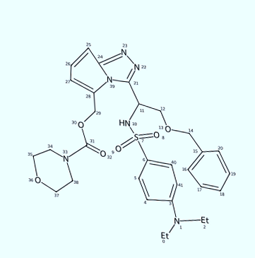 CCN(CC)c1ccc(S(=O)(=O)NC(COCc2ccccc2)c2nnc3cccc(COC(=O)N4CCOCC4)n23)cc1